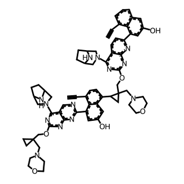 C#Cc1cccc2cc(O)cc(-c3ccc4c(N5CC6CCC(C5)N6)nc(OCC5(CN6CCOCC6)CC5c5ccc(C#C)c6c(-c7ncc8c(N9CC%10CCC(C9)N%10)nc(OCC9(CN%10CCOCC%10)CC9)nc8n7)cc(O)cc56)nc4n3)c12